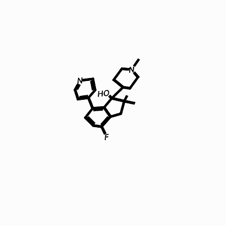 CN1CCC(C2(O)c3c(-c4ccncc4)ccc(F)c3CC2(C)C)CC1